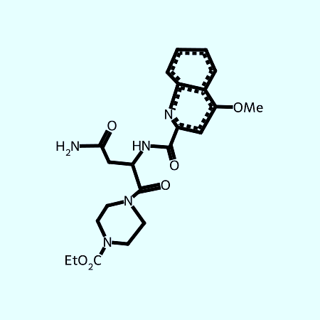 CCOC(=O)N1CCN(C(=O)C(CC(N)=O)NC(=O)c2cc(OC)c3ccccc3n2)CC1